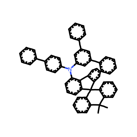 CC1(C)c2ccccc2C2(c3ccccc3-c3c(N(c4ccc(-c5ccccc5)cc4)c4cc(-c5ccccc5)cc(-c5ccccc5)c4)cccc32)c2ccccc21